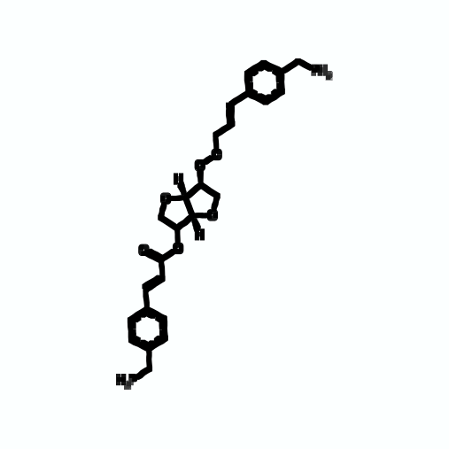 O=C(/C=C/c1ccc(CP)cc1)OC1CO[C@@H]2[C@@H](OOC/C=C/c3ccc(CP)cc3)CO[C@H]12